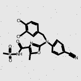 Cc1oc(N(Cc2ccc(Cl)c(Cl)c2)c2ccc(C#N)cc2)nc1C(=O)NS(C)(=O)=O